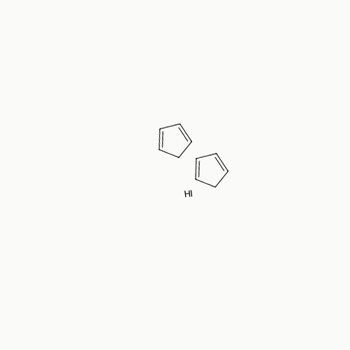 C1=CCC=C1.C1=CCC=C1.I